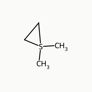 CS1(C)CC1